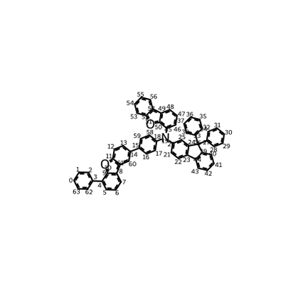 c1ccc(-c2cccc3c2oc2ccc(-c4ccc(N(c5ccc6c(c5)C(c5ccccc5)(c5ccccc5)c5ccccc5-6)c5cccc6c5oc5ccccc56)cc4)cc23)cc1